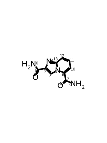 NC(=O)c1cn2c(C(N)=O)cccc2n1